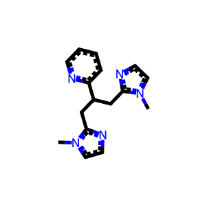 Cn1ccnc1C[C](Cc1nccn1C)c1ccccn1